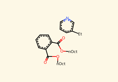 CCCCCCCCOC(=O)c1ccccc1C(=O)OCCCCCCCC.CCc1cccnc1